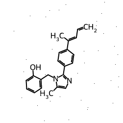 C=C/C=C(\C)c1ccc(-c2ncc(C)n2Cc2ccccc2O)cc1